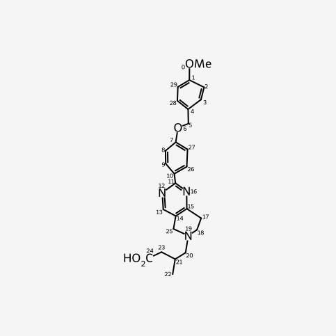 COc1ccc(COc2ccc(-c3ncc4c(n3)CCN(CC(C)CC(=O)O)C4)cc2)cc1